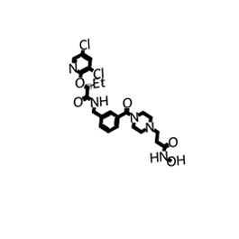 CC[C@@H](Oc1ncc(Cl)cc1Cl)C(=O)NCc1cccc(C(=O)N2CCN(CCC(=O)NO)CC2)c1